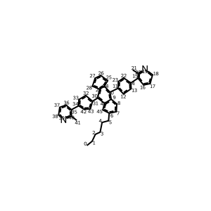 CCCCCCc1ccc2c(-c3ccc(-c4cccnc4C)cc3)c3ccccc3c(-c3ccc(-c4cccnc4C)cc3)c2c1